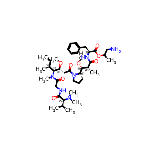 CC[C@H](C)[C@@H]([C@@H](CC(=O)N1CCC[C@H]1[C@H](OC)[C@@H](C)C(=O)N[C@@H](Cc1ccccc1)C(=O)OC(C)CN)OC)N(C)C(=O)CNC(=O)[C@H](C(C)C)N(C)C